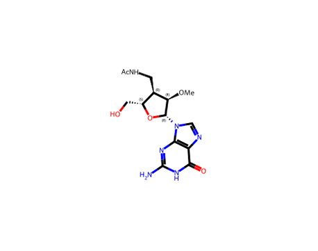 CO[C@@H]1[C@H](CNC(C)=O)[C@@H](CO)O[C@H]1n1cnc2c(=O)[nH]c(N)nc21